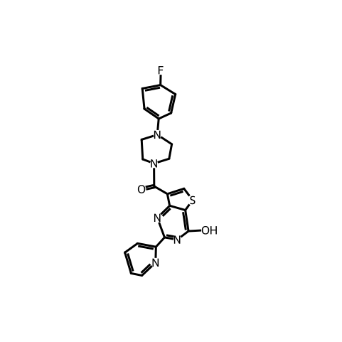 O=C(c1csc2c(O)nc(-c3ccccn3)nc12)N1CCN(c2ccc(F)cc2)CC1